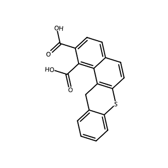 O=C(O)c1ccc2ccc3c(c2c1C(=O)O)Cc1ccccc1S3